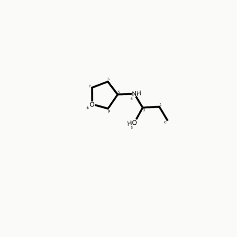 CCC(O)NC1CCOC1